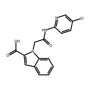 O=C(Cn1c(C(=O)O)cc2ccccc21)Nc1ccc(Cl)cn1